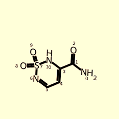 NC(=O)C1=CC=NS(=O)(=O)N1